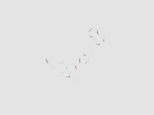 C#CCN1CCC(CC(=O)NO)(NC(=O)c2ccc(OCc3cc(C)nc4ccccc34)cc2)CC1